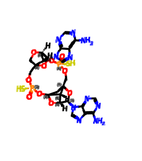 Nc1ncnc2c1ncn2[C@@H]1O[C@@]23CO[C@@H]1[C@@H]2O[P@@](=O)(S)OC[C@@]12C[C@@]4(O[C@@H]([C@H](n5cnc6c(N)ncnc65)O1)[C@@H]24)O[P@](=O)(S)OC3